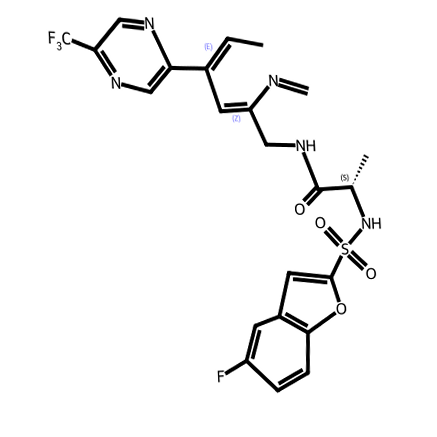 C=N/C(=C\C(=C/C)c1cnc(C(F)(F)F)cn1)CNC(=O)[C@H](C)NS(=O)(=O)c1cc2cc(F)ccc2o1